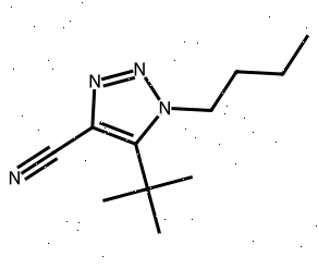 CCCCn1nnc(C#N)c1C(C)(C)C